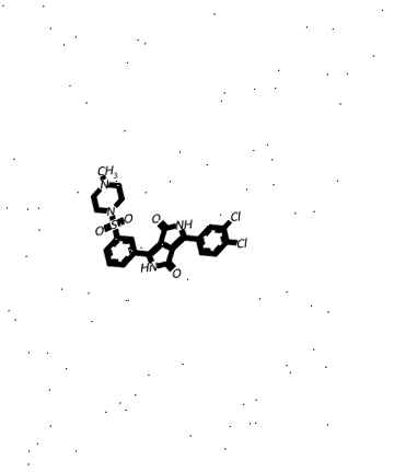 CN1CCN(S(=O)(=O)c2cccc(C3=C4C(=O)NC(c5ccc(Cl)c(Cl)c5)=C4C(=O)N3)c2)CC1